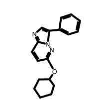 c1ccc(-c2cnc3ccc(OC4CCCCC4)nn23)cc1